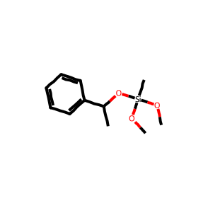 CO[Si](C)(OC)OC(C)c1ccccc1